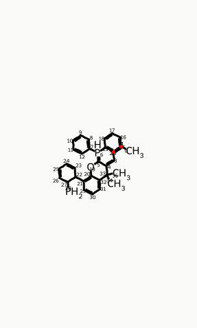 C/C=C\C=C1/C(=[PH](c2ccccc2)c2ccccc2)Oc2c(C3C=CC=CC3P)cccc2C1(C)C